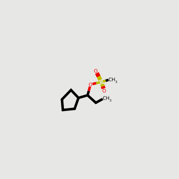 CCC(OS(C)(=O)=O)C1CCCC1